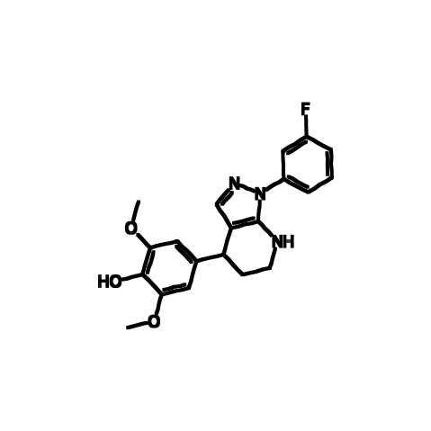 COc1cc(C2CCNc3c2cnn3-c2cccc(F)c2)cc(OC)c1O